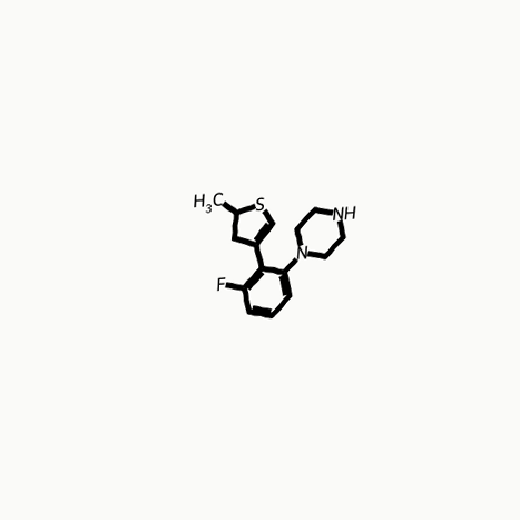 CC1CC(c2c(F)cccc2N2CCNCC2)=CS1